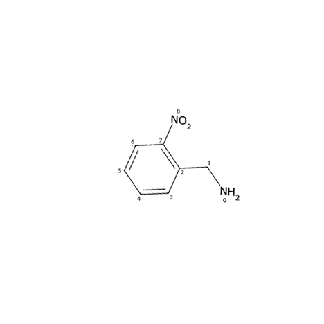 NCc1ccc[c]c1[N+](=O)[O-]